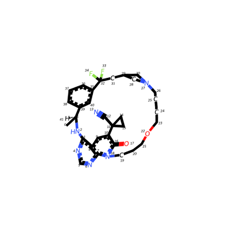 C[C@@H]1Nc2ncnc3c2cc(C2(C#N)CC2)c(=O)n3CCCOCCCCN2CC(C2)CC(F)(F)c2cccc1c2